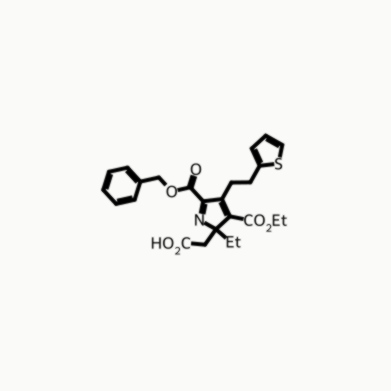 CCOC(=O)C1=C(CCc2cccs2)C(C(=O)OCc2ccccc2)=NC1(CC)CC(=O)O